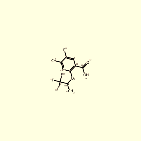 C[C@H](Oc1nc(Cl)c(F)cc1C(=O)O)C(F)(F)F